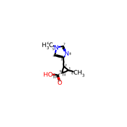 CC1C(c2cn(C)cn2)[C@H]1C(=O)O